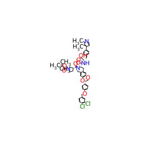 Cc1nccc(-c2ccc(C[C@H](NC(=O)[C@@H]3Cc4cc5c(cc4CN3C(=O)[C@@H]3CCN(C(=O)OC(C)(C)C)C3)O[C@@H](c3ccc(OCc4ccc(Cl)c(Cl)c4)cc3)CO5)C(=O)O)cc2)c1C